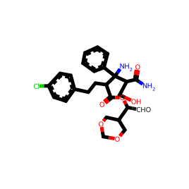 NC(=O)C(CO)C(N)(c1ccccc1)C(CCc1ccc(Cl)cc1)C(=O)OC(C=O)C1COCOC1